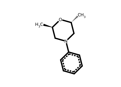 C[C@@H]1CN(c2ccccc2)C[C@@H](C)O1